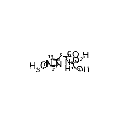 Cn1cnc(CC(NC(=O)CO)C(=O)O)c1